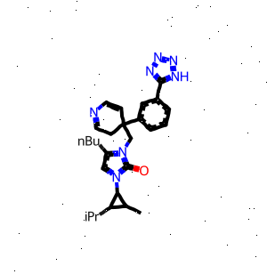 CCCCc1cn(C2C(C)C2C(C)C)c(=O)n1CC1(c2cccc(-c3nnn[nH]3)c2)C=CN=CC1